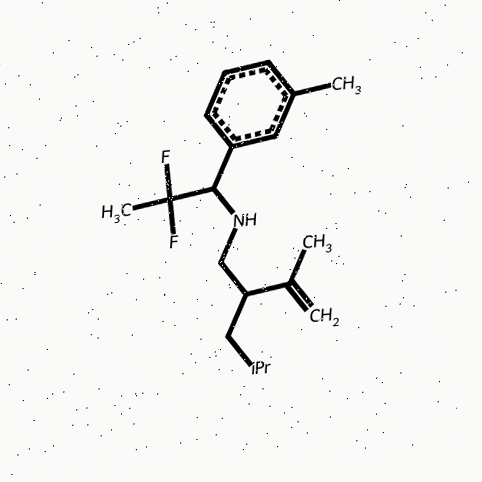 C=C(C)C(CNC(c1cccc(C)c1)C(C)(F)F)CC(C)C